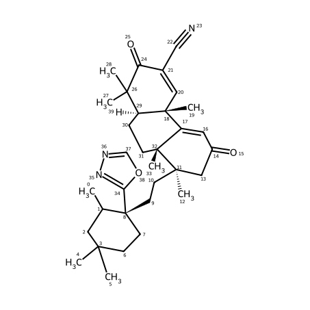 CC1CC(C)(C)CC[C@@]1(CC[C@]1(C)CC(=O)C=C2[C@@]3(C)C=C(C#N)C(=O)C(C)(C)[C@@H]3CC[C@]21C)c1nnco1